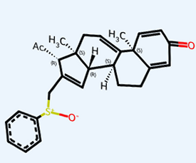 CC(=O)[C@H]1C(C[S+]([O-])c2ccccc2)=C[C@H]2[C@@H]3CCC4=CC(=O)C=C[C@]4(C)C3=CC[C@]12C